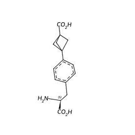 N[C@@H](Cc1ccc(C23CC(C(=O)O)(C2)C3)cc1)C(=O)O